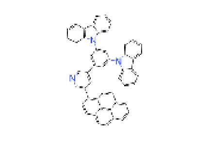 C1=Cc2c(n(-c3cc(-c4cncc(-c5ccc6ccc7cccc8ccc5c6c78)c4)cc(-n4c5ccccc5c5ccccc54)c3)c3ccccc23)CC1